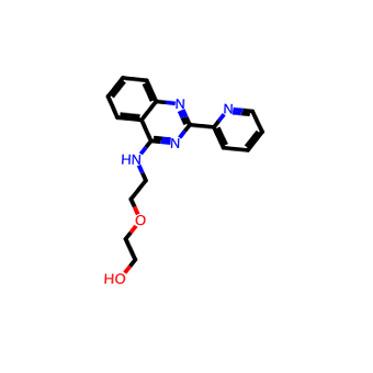 OCCOCCNc1nc(-c2ccccn2)nc2ccccc12